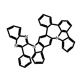 c1ccc(-c2nc3ccccc3nc2-n2c3ccccc3c3cc4c(cc32)-c2ccccc2-c2cccc3c5ccccc5n-4c23)cc1